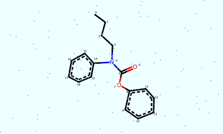 CCCCN(C(=O)Oc1ccccc1)c1ccccc1